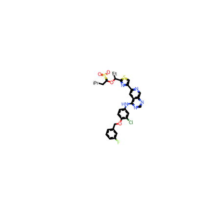 CCC(OC(CC(C)C)=S(=O)=O)c1nc(-c2cc3c(Nc4ccc(OCc5cccc(F)c5)c(Cl)c4)ncnc3cn2)cs1